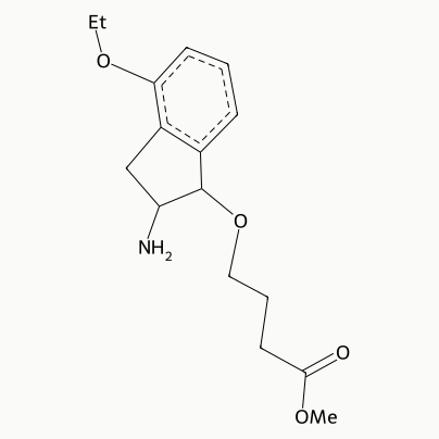 CCOc1cccc2c1CC(N)C2OCCCC(=O)OC